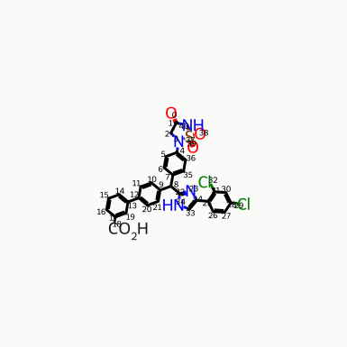 O=C1CN(c2ccc(C(c3ccc(-c4cccc(C(=O)O)c4)cc3)c3nc(-c4ccc(Cl)cc4Cl)c[nH]3)cc2)S(=O)(=O)N1